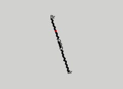 BrCCCCCCCCC=CCCCOCOCOCCCC=CCCCCCCCCBr